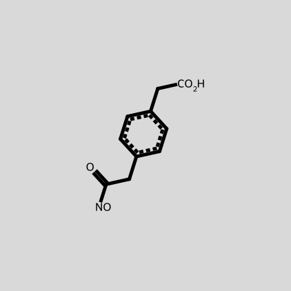 O=NC(=O)Cc1ccc(CC(=O)O)cc1